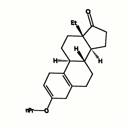 CCCOC1=CCC2=C(CC[C@@H]3[C@@H]2CC[C@]2(CC)C(=O)CC[C@@H]32)C1